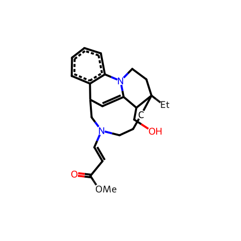 CCC12CCCN(/C=C/C(=O)OC)CC3C=C(C1CO)N(CC2)c1ccccc13